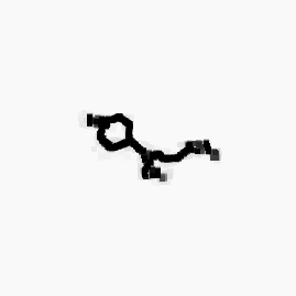 CCCN(C)C1CCNCC1